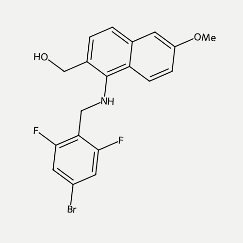 COc1ccc2c(NCc3c(F)cc(Br)cc3F)c(CO)ccc2c1